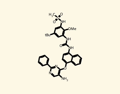 COc1c(NC(=O)Nc2ccc(Oc3nc(-c4ccccc4)ncc3N)c3ccccc23)cc(C(C)(C)C)cc1NS(C)(=O)=O